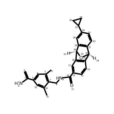 C=C(N)c1cc(C)c(CNC(=O)c2ccc3c(c2)[C@@H]2O[C@H]3c3ccc(C4CC4)cc32)c(C)c1